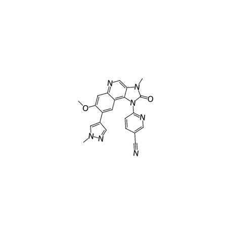 COc1cc2ncc3c(c2cc1-c1cnn(C)c1)n(-c1ccc(C#N)cn1)c(=O)n3C